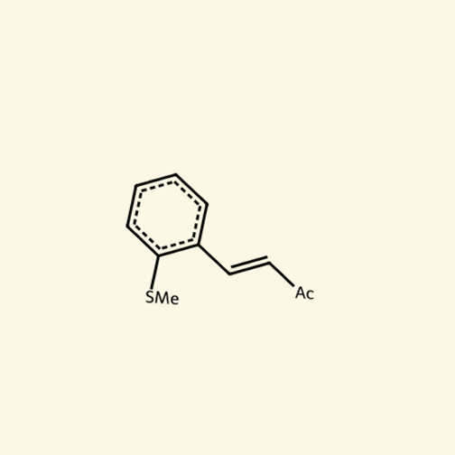 CSc1ccccc1C=CC(C)=O